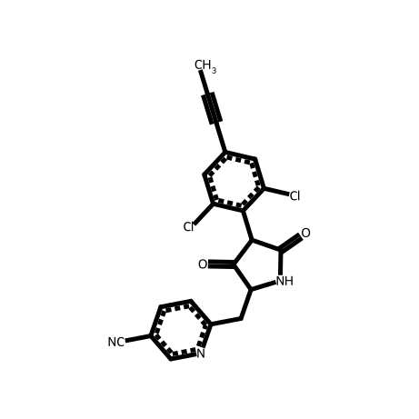 CC#Cc1cc(Cl)c(C2C(=O)NC(Cc3ccc(C#N)cn3)C2=O)c(Cl)c1